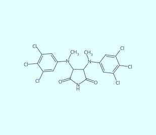 CN(c1cc(Cl)c(Cl)c(Cl)c1)C1C(=O)NC(=O)C1N(C)c1cc(Cl)c(Cl)c(Cl)c1